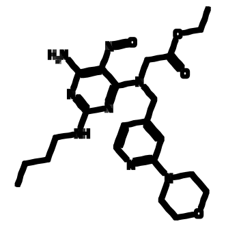 CCCCNc1nc(N)c(N=O)c(N(CC(=O)OCC)Cc2ccnc(N3CCOCC3)c2)n1